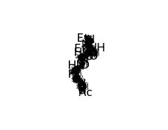 CCc1nc2c(cnn2CC)c(NC2CCOCC2)c1CNC(=O)c1cccc(C(=O)NCc2ccc(F)c(-c3cccc(CN4CCN(C(C)=O)CC4)c3)c2)n1